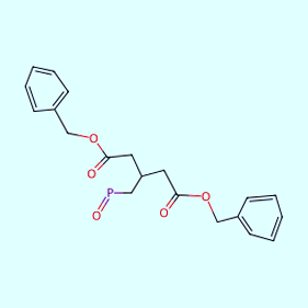 O=PCC(CC(=O)OCc1ccccc1)CC(=O)OCc1ccccc1